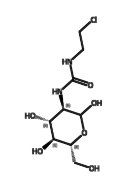 O=C(NCCCl)N[C@H]1C(O)O[C@H](CO)[C@@H](O)[C@@H]1O